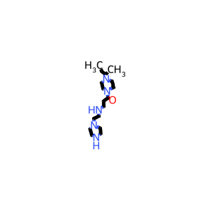 CCC(C)N1CCN(C(=O)CCNCCN2CCNCC2)CC1